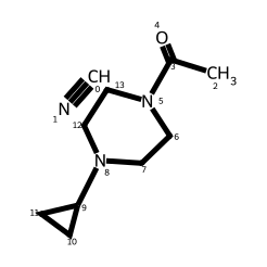 C#N.CC(=O)N1CCN(C2CC2)CC1